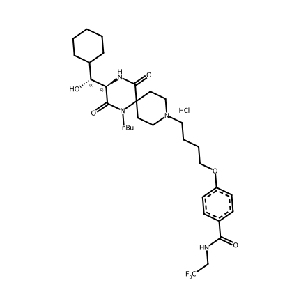 CCCCN1C(=O)[C@@H]([C@H](O)C2CCCCC2)NC(=O)C12CCN(CCCCOc1ccc(C(=O)NCC(F)(F)F)cc1)CC2.Cl